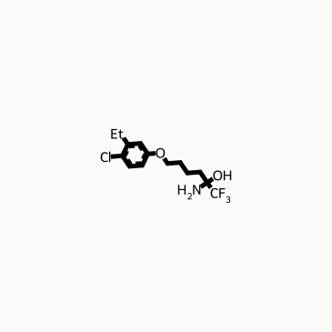 CCc1cc(OCCCCC(N)(O)C(F)(F)F)ccc1Cl